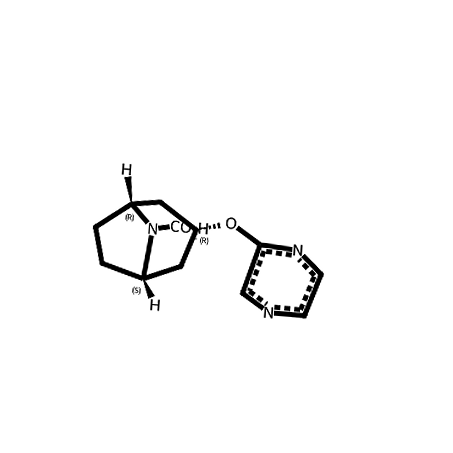 O=C(O)N1[C@@H]2CC[C@H]1C[C@@H](Oc1cnccn1)C2